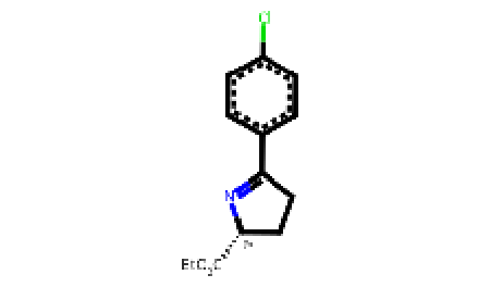 CCOC(=O)[C@H]1CCC(c2ccc(Cl)cc2)=N1